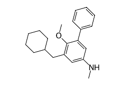 CNc1cc(CC2CCCCC2)c(OC)c(-c2ccccc2)c1